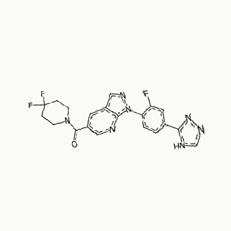 O=C(c1cnc2c(cnn2-c2ccc(-c3nnc[nH]3)cc2F)c1)N1CCC(F)(F)CC1